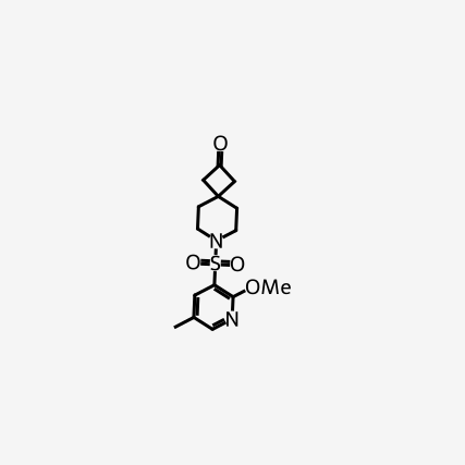 COc1ncc(C)cc1S(=O)(=O)N1CCC2(CC1)CC(=O)C2